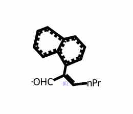 CCC/C=C(/[C]=O)c1cccc2ccccc12